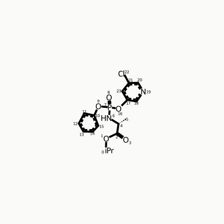 CC(C)OC(=O)[C@@H](C)NP(=O)(Oc1ccccc1)Oc1cncc(Cl)c1